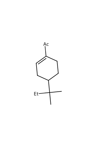 CCC(C)(C)C1CC=C(C(C)=O)CC1